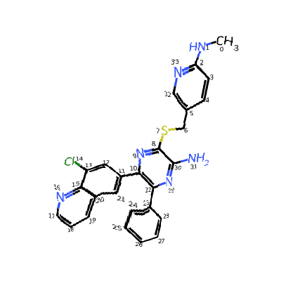 CNc1ccc(CSc2nc(-c3cc(Cl)c4ncccc4c3)c(-c3ccccc3)nc2N)cn1